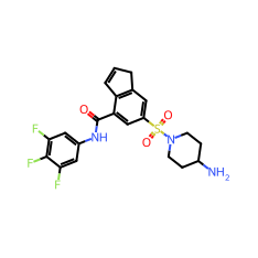 NC1CCN(S(=O)(=O)c2cc3c(c(C(=O)Nc4cc(F)c(F)c(F)c4)c2)C=CC3)CC1